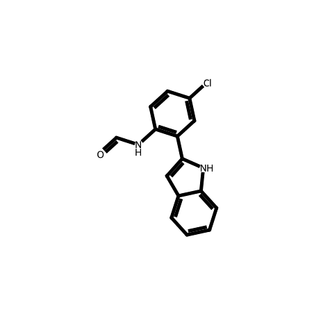 O=CNc1ccc(Cl)cc1-c1cc2ccccc2[nH]1